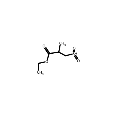 CCOC(=O)C(C)C[SH](=O)=O